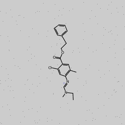 CCN(C)/C=N/c1cc(Cl)c(C(=O)OCCc2ccccc2)cc1C